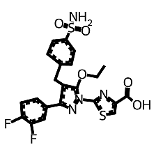 CCOc1c(Cc2ccc(S(N)(=O)=O)cc2)c(-c2ccc(F)c(F)c2)nn1-c1nc(C(=O)O)cs1